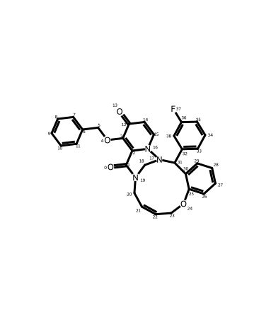 O=C1c2c(OCc3ccccc3)c(=O)ccn2N2CN1C/C=C\COc1ccccc1C2c1cccc(F)c1